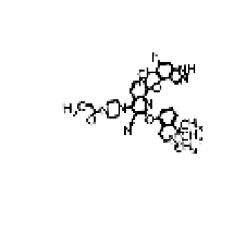 C=CC(=O)N1CCN(c2c(C#N)c(Oc3cccc4c3CCN(C)C4(C)C)nc3c(Oc4c(Cl)c(F)cc5[nH]ncc45)nccc23)CC1